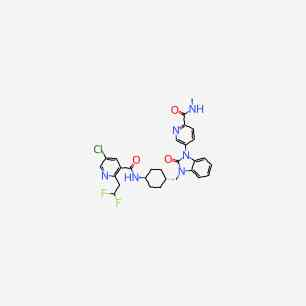 CNC(=O)c1ccc(-n2c(=O)n(C[C@H]3CC[C@H](NC(=O)c4cc(Cl)cnc4CC(F)F)CC3)c3ccccc32)cn1